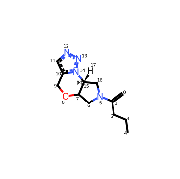 C=C(CCC)N1CC2OCc3cnnn3[C@@H]2C1